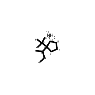 CCC(C)C1(C(C)(C)C)CCC[C@H]1N